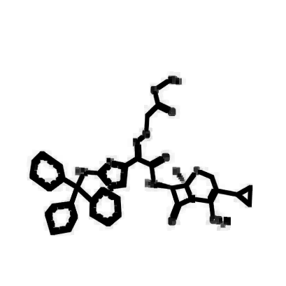 CC(C)(C)OC(=O)CO/N=C(\C(=O)N[C@@H]1C(=O)N2C(C(=O)O)=C(C3CC3)CS[C@H]12)c1csc(NC(c2ccccc2)(c2ccccc2)c2ccccc2)n1